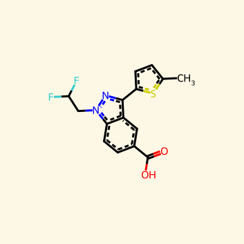 Cc1ccc(-c2nn(CC(F)F)c3ccc(C(=O)O)cc23)s1